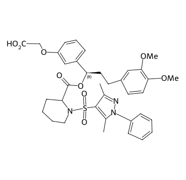 COc1ccc(CC[C@@H](OC(=O)C2CCCCN2S(=O)(=O)c2c(C)nn(-c3ccccc3)c2C)c2cccc(OCC(=O)O)c2)cc1OC